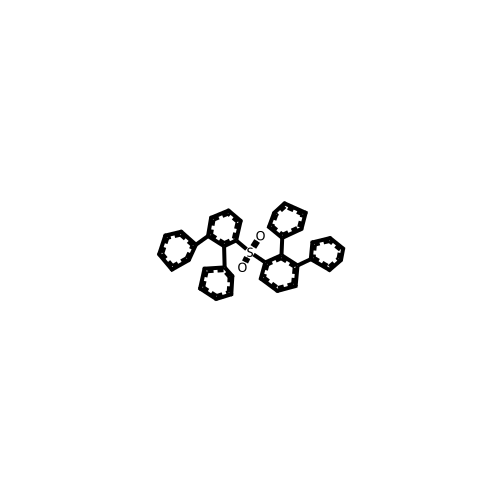 O=S(=O)(c1cccc(-c2ccccc2)c1-c1ccccc1)c1cccc(-c2ccccc2)c1-c1ccccc1